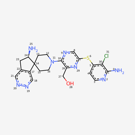 Nc1nccc(Sc2cnc(N3CCC4(CC3)c3cnncc3C[C@H]4N)c(CO)n2)c1Cl